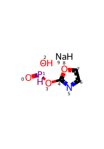 O=[PH](O)Oc1ncco1.[NaH]